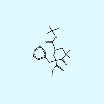 COC(=O)C1(Cc2ccccc2)CN(C(=O)OC(C)(C)C)CC(C)(C)C1=O